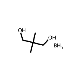 B.CC(C)(CO)CO